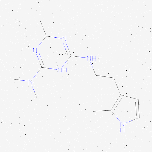 Cc1[nH]ccc1CCNC1=NC(C)N=C(N(C)C)N1